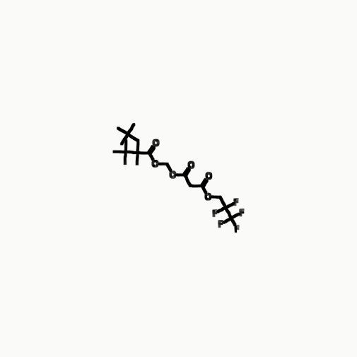 CC(C)(C)CC(C)(C(=O)OCOC(=O)CC(=O)OCC(F)(F)C(F)(F)F)C(C)(C)C